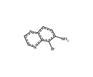 Nc1ccc2nccnc2c1Br